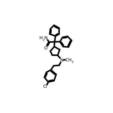 CN(CCc1ccc(Cl)cc1)C1CCC(C(C(N)=O)(c2ccccc2)c2ccccc2)C1